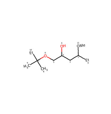 CCC(CC(O)COC(C)(C)CC)OC